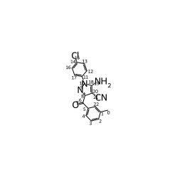 Cc1cccc(C(=O)c2nn(-c3ccc(Cl)cc3)c(N)c2C#N)c1